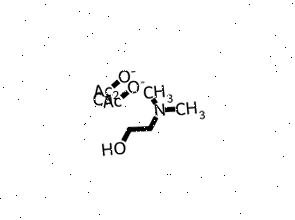 CC(=O)[O-].CC(=O)[O-].CN(C)CCO.[Ca+2]